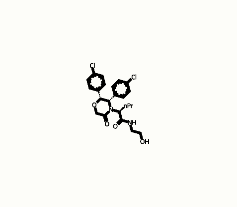 CCC[C@@H](C(=O)NCCO)N1C(=O)CO[C@H](c2ccc(Cl)cc2)[C@@H]1c1ccc(Cl)cc1